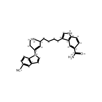 N#Cc1ccc2c(ccn2C2=CC(CCCCc3c[nH]c4ccc(C(N)=O)cc34)NCC2)c1